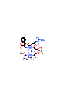 CC(C)C[C@H](NC(=O)OC(C)(C)C)C(=O)N[C@@H](CO)C(=O)N[C@H](C(=O)N[C@@H](CCCNC(=N)N)C(=O)NCc1cc2ccccc2oc1=O)[C@@H](C)O